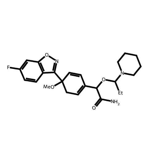 CCC(OC(C(N)=O)C1=CCC(OC)(c2noc3cc(F)ccc23)C=C1)N1CCCCC1